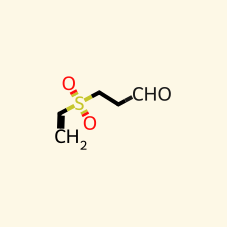 C=CS(=O)(=O)CCC=O